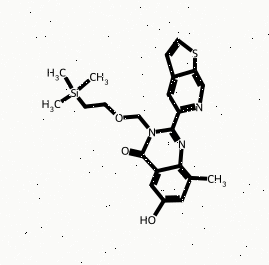 Cc1cc(O)cc2c(=O)n(COCC[Si](C)(C)C)c(-c3cc4ccsc4cn3)nc12